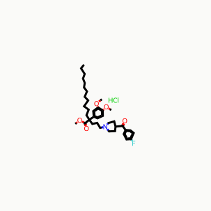 CCCCCCCCCCCCC(CCCN1CCC(C(=O)c2ccc(F)cc2)CC1)(C(=O)OC)c1ccc(OC)c(OC)c1.Cl